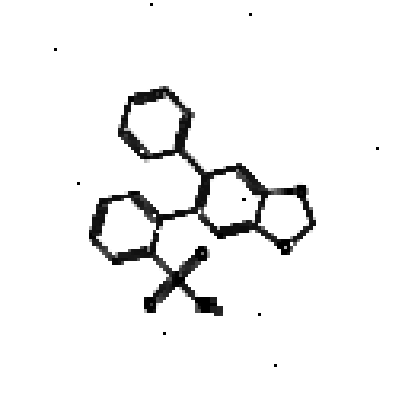 NS(=O)(=O)c1ccccc1-c1cc2c(cc1-c1ccccc1)OCO2